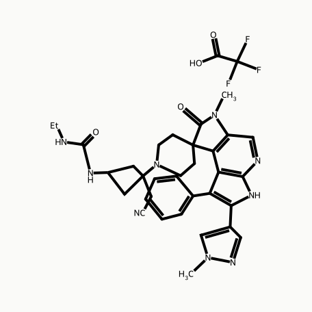 CCNC(=O)NC1CC(CC#N)(N2CCC3(CC2)C(=O)N(C)c2cnc4[nH]c(-c5cnn(C)c5)c(-c5ccccc5)c4c23)C1.O=C(O)C(F)(F)F